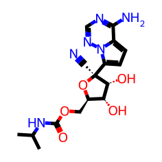 CC(C)NC(=O)OC[C@H]1O[C@@](C#N)(c2ccc3c(N)ncnn23)[C@H](O)[C@@H]1O